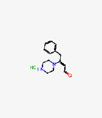 Cl.O=CC=C(Cc1ccccc1)N1CCNCC1